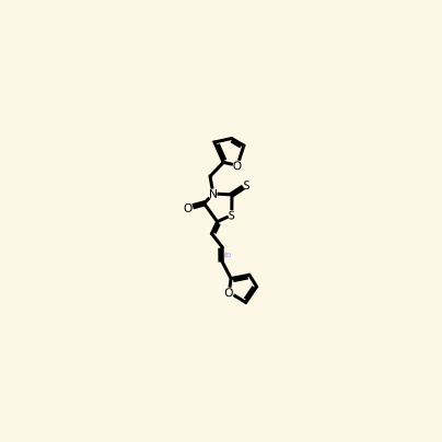 O=C1C(=C/C=C/c2ccco2)SC(=S)N1Cc1ccco1